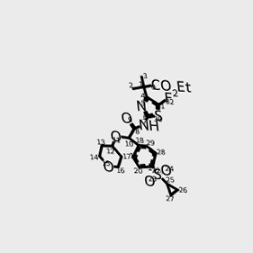 CCOC(=O)C(C)(C)c1nc(NC(=O)C(OC2CCOCC2)c2ccc(S(=O)(=O)C3CC3)cc2)sc1F